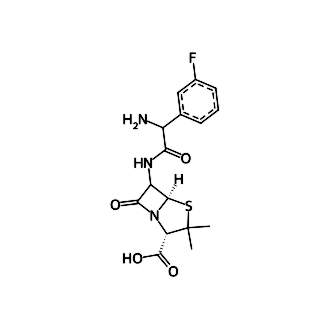 CC1(C)S[C@@H]2C(NC(=O)C(N)c3cccc(F)c3)C(=O)N2[C@H]1C(=O)O